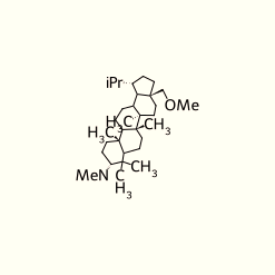 CN[C@@H]1CC[C@@]2(C)C(CC[C@]3(C)C2CCC2C4[C@H](C(C)C)CC[C@]4(COC)CC[C@]23C)C1(C)C